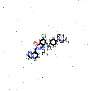 CCN(c1cc(Cl)cc(C(=O)NCc2cccn3ccnc23)c1C)[C@H]1CC[C@H](N(C)C)CC1